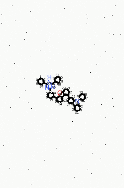 c1ccc(C2=NC(c3cccc(-c4cccc5c4oc4cccc(-c6ccc7c8ccccc8n(-c8ccccc8)c7c6)c45)c3)=NC(c3ccccc3)N2)cc1